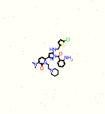 CN(C)c1ccc(-c2cc(NCc3ccc(Cl)s3)n(C(=O)c3ccccc3N)n2)n(CCN2CCCCC2)c1=O